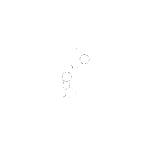 N#Cc1cccc(NC(=O)c2ccc3[nH]c4c(c3c2)CCCC4=O)c1